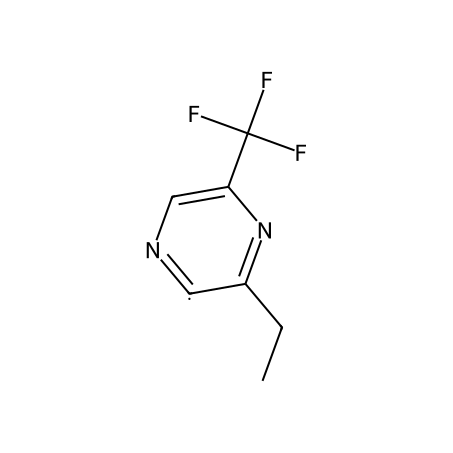 CCc1[c]ncc(C(F)(F)F)n1